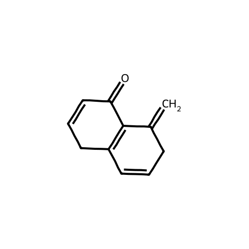 C=C1CC=CC2=C1C(=O)C=CC2